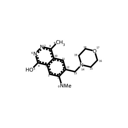 CNc1cc2c(O)nnc(C)c2cc1CN1CCOCC1